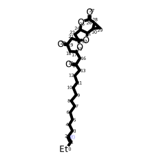 CC/C=C/CCCCCCCCCCCC(=O)CC1CC(=O)CC2(CC3OC(=O)C4CC4C3O2)O1